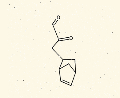 O=CC(=O)CC1CC2C=CC1C2